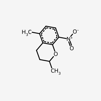 Cc1ccc([N+](=O)[O-])c2c1CCC(C)O2